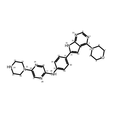 c1nc(N2CCOCC2)c2cc(-c3ccc(Nc4cnc(N5CCNCC5)cn4)cc3)[nH]c2n1